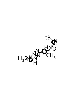 Cc1cc(-c2ncnc(Nc3ccn(C)n3)n2)ccc1CNC(=O)c1cc(C(C)(C)C)no1